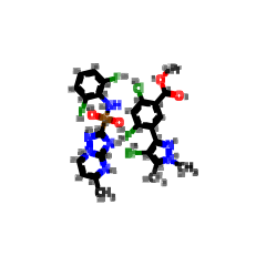 CC(C)OC(=O)c1cc(-c2nn(C)c(C(F)(F)F)c2Br)c(F)cc1Cl.Cc1ccn2nc(S(=O)(=O)Nc3c(F)cccc3F)nc2n1